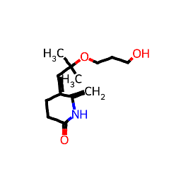 C=C1NC(=O)CC/C1=C/C(C)(C)OCCCO